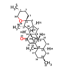 C[C@@H]1CC[C@]2(C[C@H]3C[C@H]4[C@@H]5CC[C@H]6C[C@@H](C)CC[C@]6(C)C5=CC(=O)[C@]4(C)[C@H]3[C@@H]2C)OC1